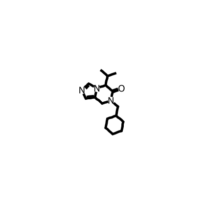 CC(C)C1C(=O)N(CC2CCCCC2)Cc2cncn21